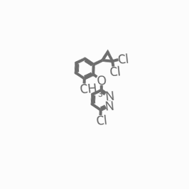 Cc1cccc(C2CC2(Cl)Cl)c1Oc1ccc(Cl)nn1